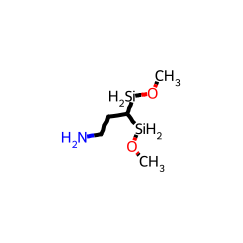 CO[SiH2]C(CCN)[SiH2]OC